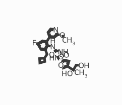 COc1cc(-c2cc(F)cc(CC3CCC3)c2NC(=O)N[S@@](=N)(=O)c2cc(C(C)(O)CO)co2)ccn1